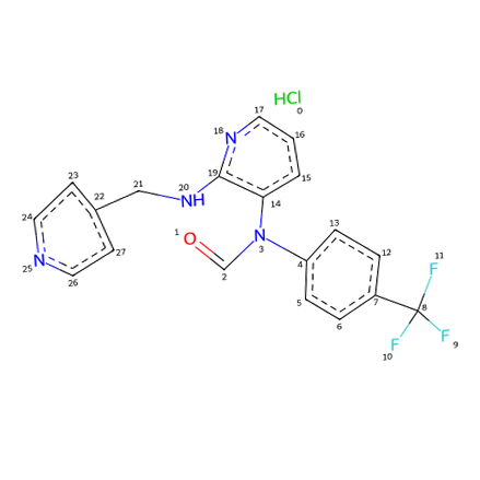 Cl.O=CN(c1ccc(C(F)(F)F)cc1)c1cccnc1NCc1ccncc1